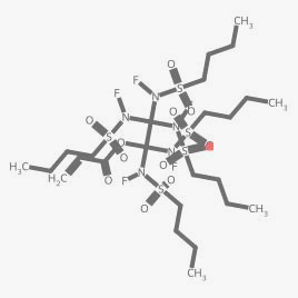 C=CC(=O)OC(N(F)S(=O)(=O)CCCC)(N(F)S(=O)(=O)CCCC)C(N(F)S(=O)(=O)CCCC)(N(F)S(=O)(=O)CCCC)N(F)S(=O)(=O)CCCC